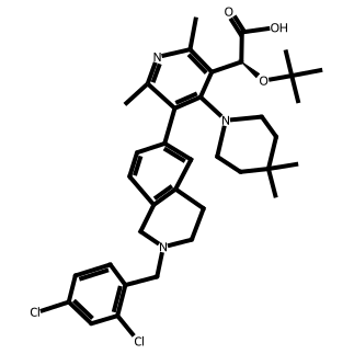 Cc1nc(C)c([C@H](OC(C)(C)C)C(=O)O)c(N2CCC(C)(C)CC2)c1-c1ccc2c(c1)CCN(Cc1ccc(Cl)cc1Cl)C2